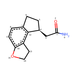 NC(=O)C[C@@H]1CCc2ccc3c(c21)CCO3